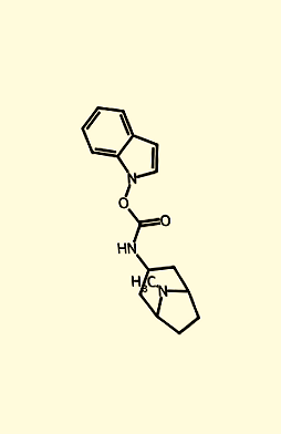 CN1C2CCC1CC(NC(=O)On1ccc3ccccc31)C2